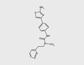 CN(CCc1ccccn1)C(=O)Nc1ccc(-c2csc(N)n2)cc1